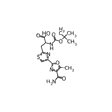 Cc1oc(-c2csc(CC(NC(=O)OC(C)(C)C)C(=O)O)n2)nc1C(N)=O